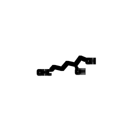 O=CCCC[C@@H](O)CO